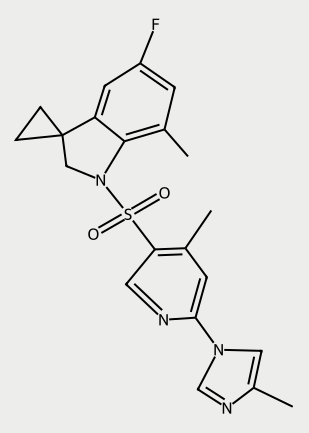 Cc1cn(-c2cc(C)c(S(=O)(=O)N3CC4(CC4)c4cc(F)cc(C)c43)cn2)cn1